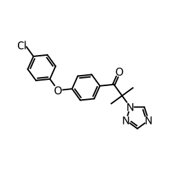 CC(C)(C(=O)c1ccc(Oc2ccc(Cl)cc2)cc1)n1cncn1